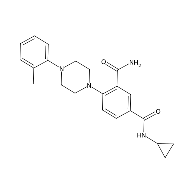 Cc1ccccc1N1CCN(c2ccc(C(=O)NC3CC3)cc2C(N)=O)CC1